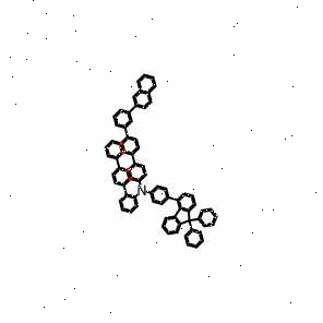 c1ccc(-c2ccc(-c3ccccc3N(c3ccc(-c4ccc(-c5cccc(-c6ccc7ccccc7c6)c5)cc4)cc3)c3ccc(-c4cccc5c4-c4ccccc4C5(c4ccccc4)c4ccccc4)cc3)cc2)cc1